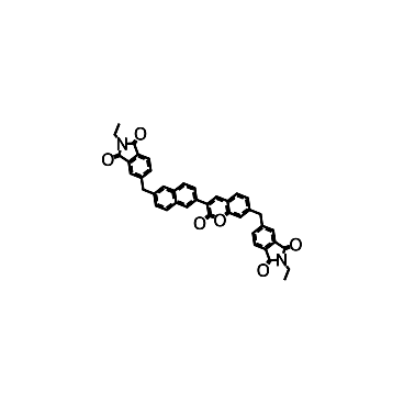 CCN1C(=O)c2ccc(Cc3ccc4cc(-c5cc6ccc(Cc7ccc8c(c7)C(=O)N(CC)C8=O)cc6oc5=O)ccc4c3)cc2C1=O